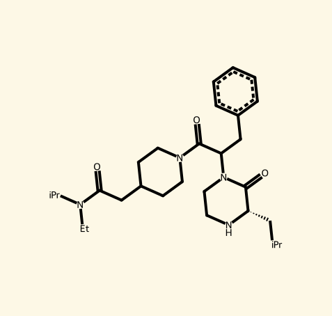 CCN(C(=O)CC1CCN(C(=O)C(Cc2ccccc2)N2CCN[C@@H](CC(C)C)C2=O)CC1)C(C)C